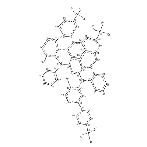 Cc1ccc(-c2ccc(C(C)(C)C)cc2)cc1N(c1ccccc1)c1cc(N(c2ccccc2)c2cc(-c3ccc(C(C)(C)C)cc3)ccc2C)c2ccc3cc(C(C)(C)C)cc4ccc1c2c43